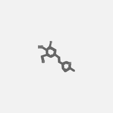 Cc1ccc(C=Cc2cc(F)c(O)c(C=O)c2)cn1